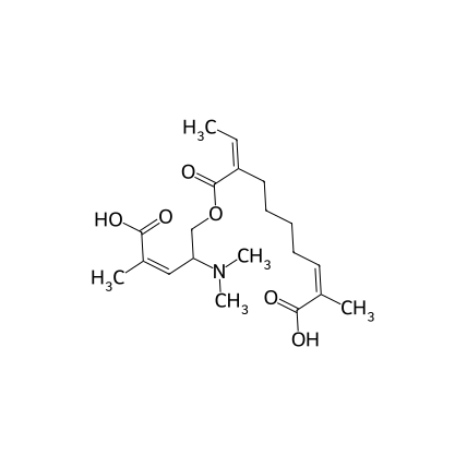 CC=C(CCCCC=C(C)C(=O)O)C(=O)OCC(C=C(C)C(=O)O)N(C)C